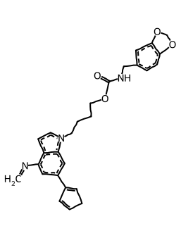 C=Nc1cc(C2=CCC=C2)cc2c1ccn2CCCCOC(=O)NCc1ccc2c(c1)OCO2